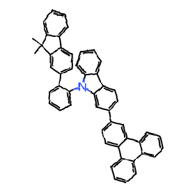 CC1(C)c2ccccc2-c2ccc(-c3ccccc3-n3c4ccccc4c4ccc(-c5ccc6c7ccccc7c7ccccc7c6c5)cc43)cc21